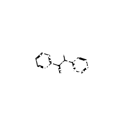 C=C(c1ccccc1)C(O)c1ccccc1